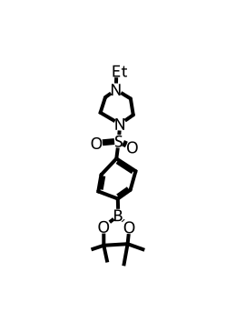 CCN1CCN(S(=O)(=O)c2ccc(B3OC(C)(C)C(C)(C)O3)cc2)CC1